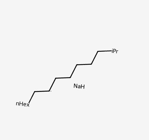 CCCCCCC[CH]CCCCCC(C)C.[NaH]